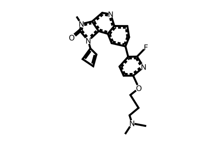 CN(C)CCCOc1ccc(-c2ccc3ncc4c(c3c2)n(C2=CC=C2)c(=O)n4C)c(F)n1